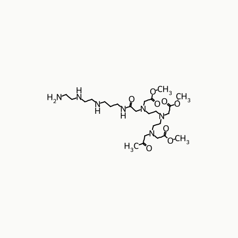 COC(=O)CN(CCN(CC(C)=O)CC(=O)OC)CCN(CC(=O)NCCCNCCNCCN)CC(=O)OC